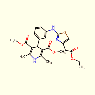 CCOC(=O)Cc1csc(Nc2cccc(C3C(C(=O)OC)=C(C)NC(C)=C3C(=O)OC)c2)n1